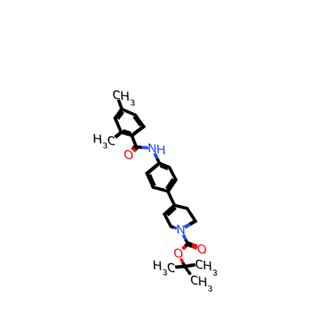 Cc1ccc(C(=O)Nc2ccc(C3=CCN(C(=O)OC(C)(C)C)CC3)cc2)c(C)c1